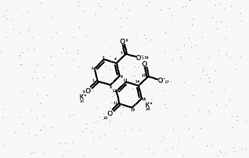 O=C1C=CC(C(=O)[O-])=CC1.O=C1C=CC(C(=O)[O-])=CC1.[K+].[K+]